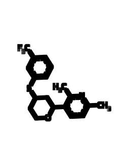 Cc1ccc(C2CC(Sc3cccc(C(F)(F)F)c3)CCO2)c(C)n1